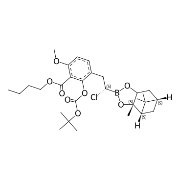 CCCCOC(=O)c1c(OC)ccc(C[C@@H](Cl)B2OC3C[C@@H]4C[C@@H](C4(C)C)[C@]3(C)O2)c1OC(=O)OC(C)(C)C